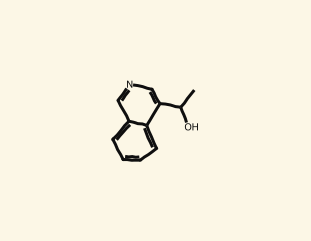 CC(O)c1cncc2ccccc12